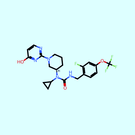 O=C(NCc1ccc(OC(F)(F)F)cc1F)N(C1CC1)[C@@H]1CCCN(c2nccc(O)n2)C1